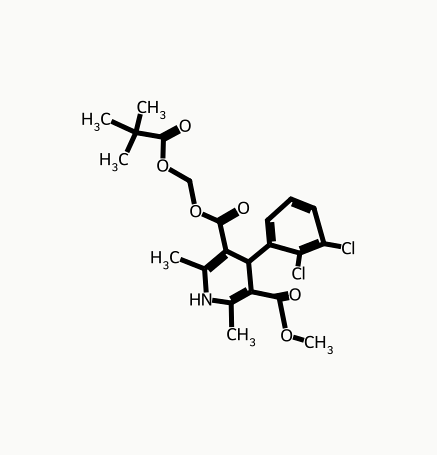 COC(=O)C1=C(C)NC(C)=C(C(=O)OCOC(=O)C(C)(C)C)C1c1cccc(Cl)c1Cl